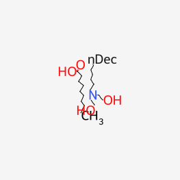 CCCCCCCCCC(=O)O.CCCCCCCCCCCCCCCCN(CCO)CCO